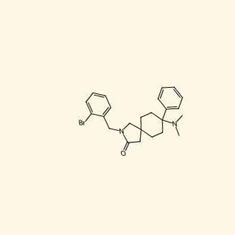 CN(C)C1(c2ccccc2)CCC2(CC1)CC(=O)N(Cc1ccccc1Br)C2